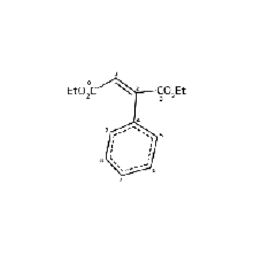 CCOC(=O)/C=C(/C(=O)OCC)c1ccccc1